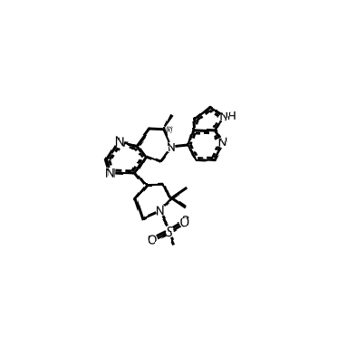 C[C@@H]1Cc2ncnc(C3CCN(S(C)(=O)=O)C(C)(C)C3)c2CN1c1ccnc2[nH]ccc12